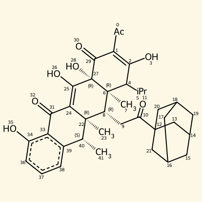 CC(=O)C1=C(O)C(C(C)C)[C@@]2(C)[C@H](CC(=O)C34CC5CC(CC(C5)C3)C4)[C@]3(C)C(=C(O)[C@@]2(O)C1=O)C(=O)c1c(O)cccc1[C@H]3C